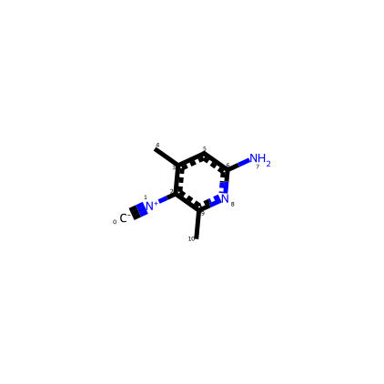 [C-]#[N+]c1c(C)cc(N)nc1C